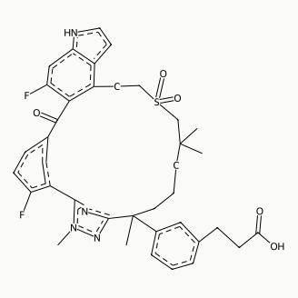 Cn1nc2nc1-c1cc(ccc1F)C(=O)c1c(F)cc3[nH]ccc3c1CCS(=O)(=O)CC(C)(C)CCCC2(C)c1cccc(CCC(=O)O)c1